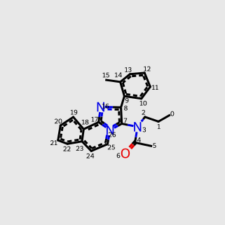 CCCN(C(C)=O)c1c(-c2ccccc2C)nc2c3ccccc3ccn12